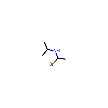 CC(C)NC(C)Br